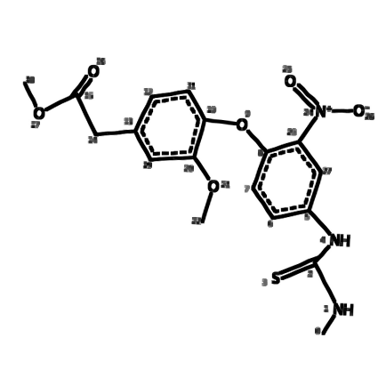 CNC(=S)Nc1ccc(Oc2ccc(CC(=O)OC)cc2OC)c([N+](=O)[O-])c1